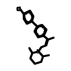 C/C(=C/CN1C(C)CCCC1C)c1ccc(-c2ccc(Cl)cc2)cc1